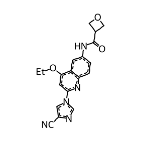 CCOc1cc(-n2cnc(C#N)c2)nc2ccc(NC(=O)C3COC3)cc12